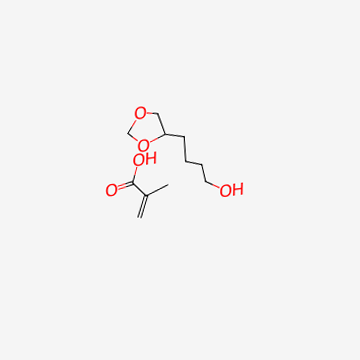 C=C(C)C(=O)O.OCCCCC1COCO1